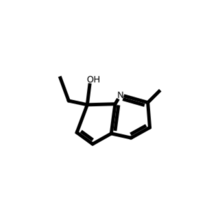 CCC1(O)C=Cc2ccc(C)nc21